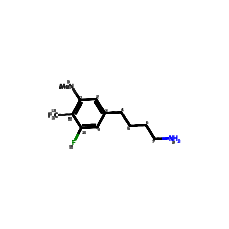 CNc1cc(CCCCN)cc(F)c1C(F)(F)F